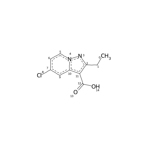 CCc1nn2ccc(Cl)cc2c1C(=O)O